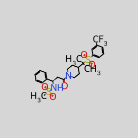 CC(C)(C1CCN(C(=O)C[C@@H](NS(C)(=O)=O)c2ccccc2)CC1)S(=O)(=O)c1cccc(C(F)(F)F)c1